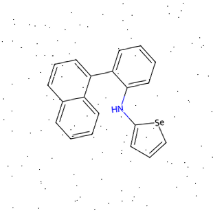 c1c[se]c(Nc2ccccc2-c2cccc3ccccc23)c1